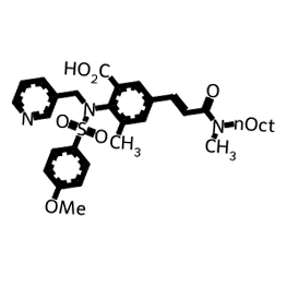 CCCCCCCCN(C)C(=O)C=Cc1cc(C)c(N(Cc2cccnc2)S(=O)(=O)c2ccc(OC)cc2)c(C(=O)O)c1